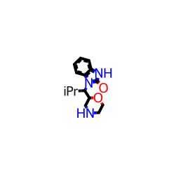 CC(C)C(C1CNCCO1)n1c(=O)[nH]c2ccccc21